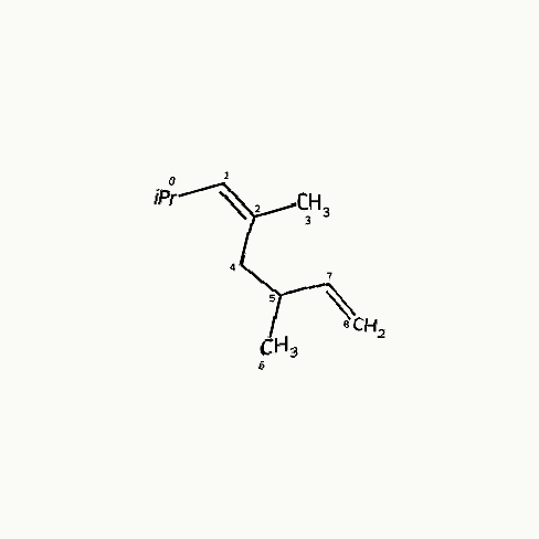 [CH2]C(C)C=C(C)CC(C)C=C